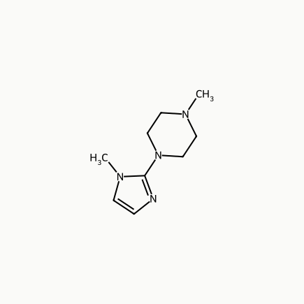 CN1CCN(c2nccn2C)CC1